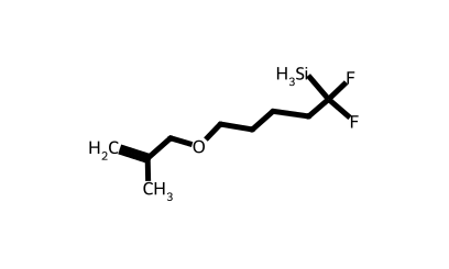 C=C(C)COCCCCC(F)(F)[SiH3]